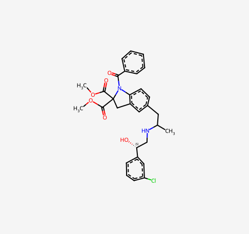 COC(=O)C1(C(=O)OC)Cc2cc(CC(C)NC[C@@H](O)c3cccc(Cl)c3)ccc2N1C(=O)c1ccccc1